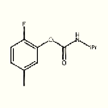 Cc1ccc(F)c(OC(=O)NC(C)C)c1